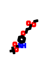 CCOC(=O)CCCOc1ccc(NC(=O)OC(C)(C)C)cc1